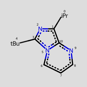 CC(C)c1nc(C(C)(C)C)n2cccnc12